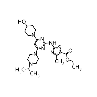 CCOC(=O)c1sc(Nc2nc(N3CCC(O)CC3)cc(N3CCN(C(C)C)CC3)n2)nc1C